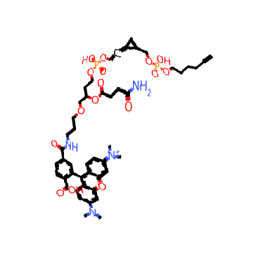 C#CCCCCOP(=O)(O)OCC1CC1=C=COP(=O)(O)OCCC(COCCCNC(=O)c1ccc(C(=O)O)c(-c2c3ccc(=[N+](C)C)cc-3oc3cc(N(C)C)ccc23)c1)OC(=O)CCC(N)=O